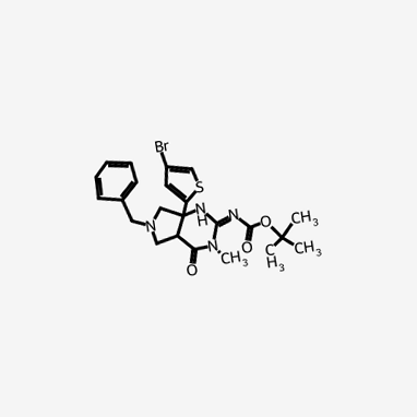 CN1C(=O)C2CN(Cc3ccccc3)CC2(c2cc(Br)cs2)N/C1=N/C(=O)OC(C)(C)C